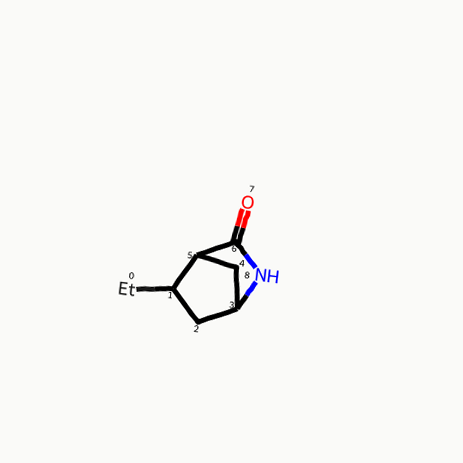 CCC1CC2CC1C(=O)N2